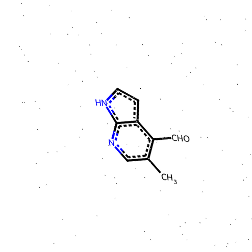 Cc1cnc2[nH]ccc2c1C=O